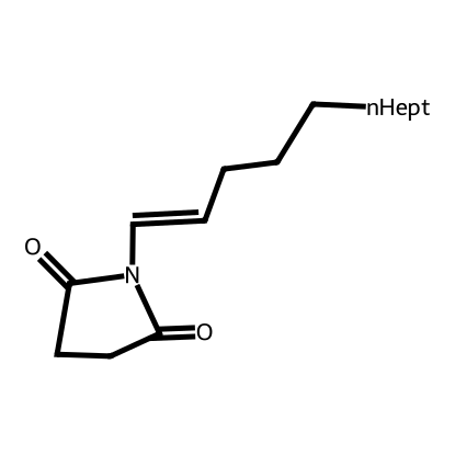 CCCCCCCCCC/C=C/N1C(=O)CCC1=O